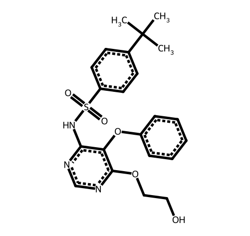 CC(C)(C)c1ccc(S(=O)(=O)Nc2ncnc(OCCO)c2Oc2ccccc2)cc1